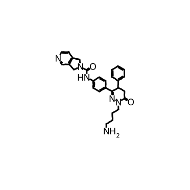 NCCCCN1N=C(c2ccc(NC(=O)N3Cc4ccncc4C3)cc2)C(c2ccccc2)CC1=O